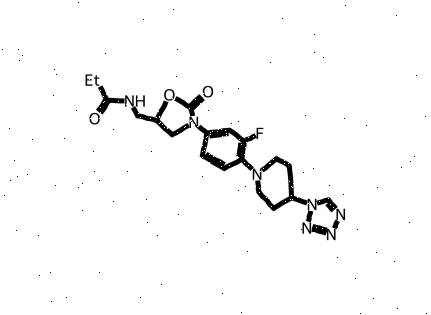 CCC(=O)NCC1CN(c2ccc(N3CCC(n4cnnn4)CC3)c(F)c2)C(=O)O1